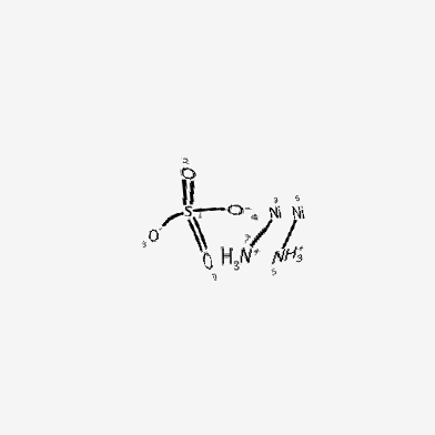 O=S(=O)([O-])[O-].[NH3+][Ni].[NH3+][Ni]